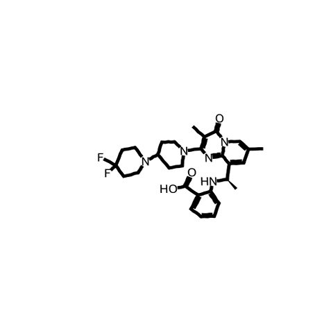 Cc1cc([C@@H](C)Nc2ccccc2C(=O)O)c2nc(N3CCC(N4CCC(F)(F)CC4)CC3)c(C)c(=O)n2c1